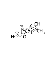 CN(C)CC1(C)CCN(c2cc3c(cc2F)c(=O)c(OC(=O)O)cn3C2CC2)C1